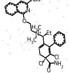 CCCCc1cc2ccccc2c(OCC[N+](C)(C)[C@@H](CC)C2=CC[C@@](Cl)(C(N)=O)C(Cl)=C2c2ccccc2)n1